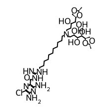 C[C@@H]1OC[C@H]([C@@H](O)[C@H](O)[C@@H](O)CN(CCCCCCCCCCCNC(=N)NC(=O)c2nc(Cl)c(N)nc2N)CC[C@@H](O)[C@H](O)[C@H]2CO[C@@H](C)O2)O1